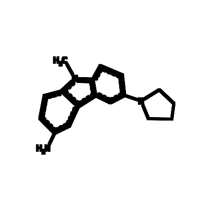 Cn1c2ccc(N)cc2c2cc(N3CCCC3)ccc21